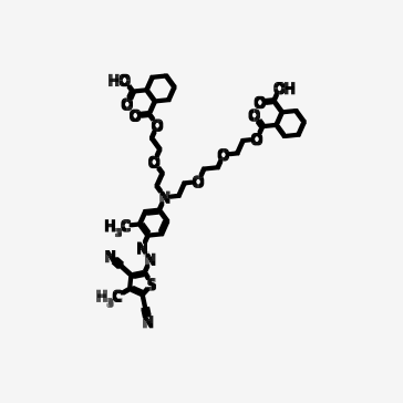 Cc1cc(N(CCOCCOCCOC(=O)C2CCCCC2C(=O)O)CCOCCOC(=O)C2CCCCC2C(=O)O)ccc1/N=N/c1sc(C#N)c(C)c1C#N